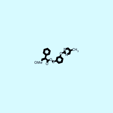 CO/C=C(\C(=O)OOc1cccc(Oc2ncc(C)cn2)c1)c1ccccc1